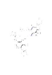 COC(=C(\Cl)C(=N)N1CCCC1)/C(=C\CCOc1c(S(=O)(=O)N2CCC2)cnc(N2CCCC2)c1Cl)S(=O)(=O)Cl